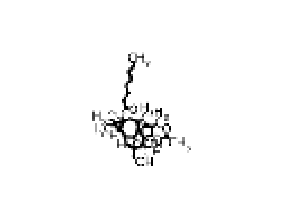 CCCCCCCC(=O)O[C@@]12C[C@@H](C)[C@]34C=C(C)[C@H](OC(C)=O)[C@@]3(O)[C@H](O)C(CO)=C[C@H](C4=O)[C@@H]1C2(C)C